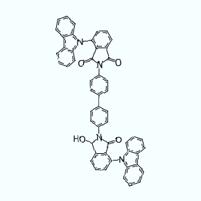 O=C1c2cccc(-n3c4ccccc4c4ccccc43)c2C(=O)N1c1ccc(-c2ccc(N3C(=O)c4c(cccc4-n4c5ccccc5c5ccccc54)C3O)cc2)cc1